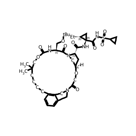 CC[C@@H]1C[C@]1(NC(=O)[C@@H]1C[C@@H]2CN1C(=O)[C@H](COC(C)(C)C)NC(=O)OCC(C)(C)CCCCc1cccc3c1CN(C3)C(=O)CO2)C(=O)NS(=O)(=O)C1CC1